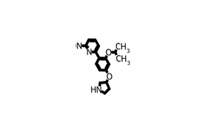 CC(C)Oc1cc(OC2CCNC2)ccc1-c1cccc([N])n1